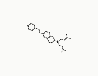 CC(C)=CCN(CC=C(C)C)c1ccc2cc(/C=C/c3ccncc3)ccc2c1